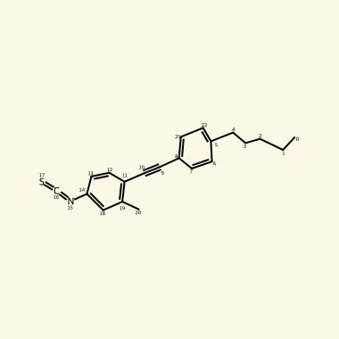 CCCCCc1ccc(C#Cc2ccc(N=C=S)cc2C)cc1